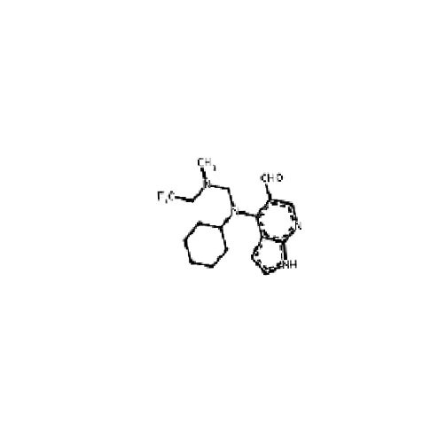 CN(CN(c1c(C=O)cnc2[nH]ccc12)C1CCCCC1)CC(F)(F)F